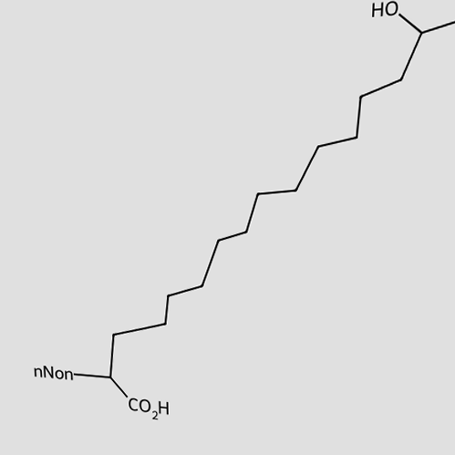 CCCCCCCCCC(CCCCCCCCCCCCC(C)O)C(=O)O